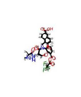 CN[C@@H](C)C(=O)N[C@H]1COc2c(C(=O)OC(=O)C(F)(F)F)cccc2N(Cc2c(OC)ccc3cc(C(=O)O)ccc23)C1=O